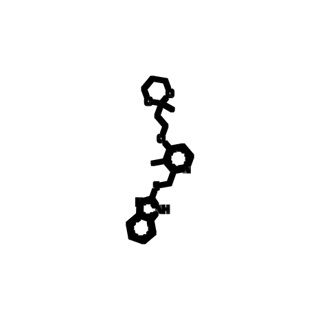 Cc1c(OCCC2(C)OCCCO2)ccnc1CSc1nc2ccccc2[nH]1